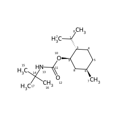 CC(C)[C@@H]1CC[C@@H](C)C[C@H]1OC(=O)NC(C)(C)C